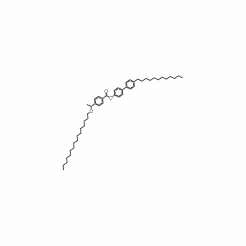 CCCCCCCCCCCCCCCCOC(C)c1ccc(C(=O)Oc2ccc(-c3ccc(CCCCCCCCCCCC)cc3)cc2)cc1